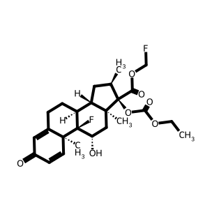 CCOC(=O)O[C@]1(C(=O)OCF)[C@H](C)C[C@H]2[C@@H]3CCC4=CC(=O)C=C[C@]4(C)[C@@]3(F)[C@@H](O)C[C@@]21C